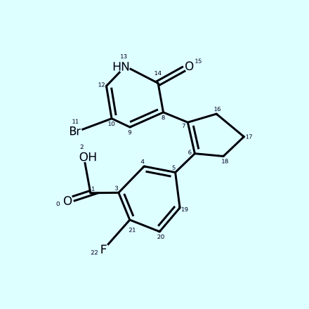 O=C(O)c1cc(C2=C(c3cc(Br)c[nH]c3=O)CCC2)ccc1F